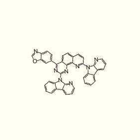 c1ccc2c(c1)c1cccnc1n2-c1ccc2ccc3c(-c4ccc5ncoc5c4)nc(-n4c5ccccc5c5cccnc54)nc3c2n1